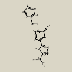 O=c1cc(-c2nnc(C(F)F)o2)cnn1CCc1ccccc1